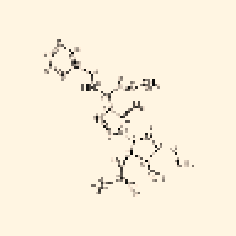 CC[C@H]1O[C@@H](n2cnc3c(NCc4ccccc4)nc(C)nc32)[C@H](OC(C)=O)[C@@H]1C